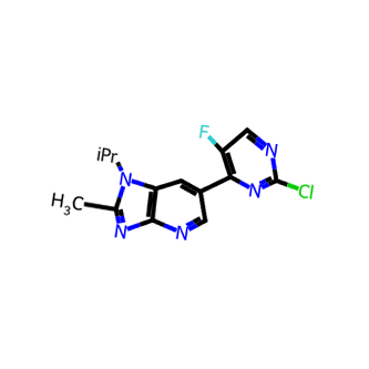 Cc1nc2ncc(-c3nc(Cl)ncc3F)cc2n1C(C)C